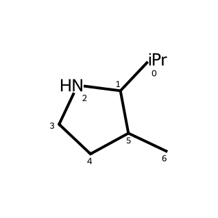 CC(C)C1NCCC1C